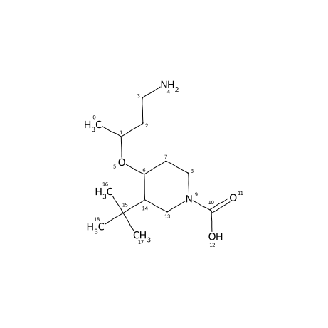 CC(CCN)OC1CCN(C(=O)O)CC1C(C)(C)C